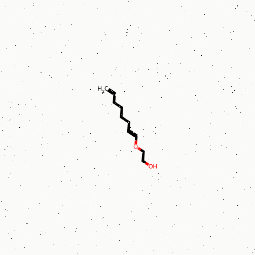 C=CCCCCC=COCCO